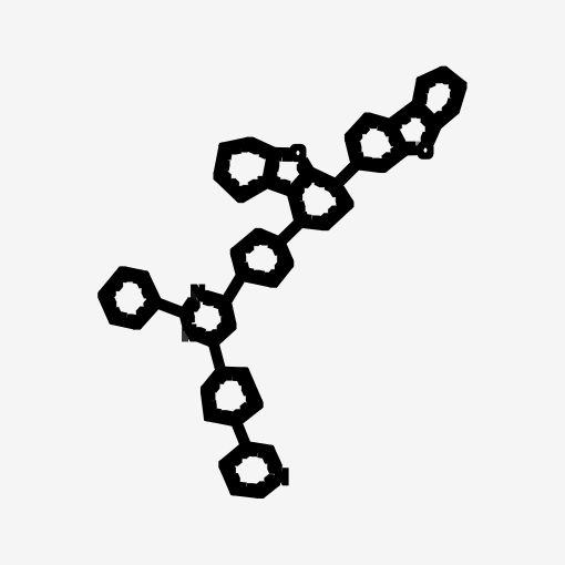 c1ccc(-c2nc(-c3ccc(-c4cccnc4)cc3)cc(-c3ccc(-c4ccc(-c5ccc6c(c5)oc5ccccc56)c5oc6ccccc6c45)cc3)n2)cc1